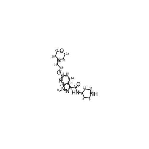 Cn1nc(C(=O)NC2CCNCC2)c2ccc(OCCN3CCOCC3)nc21